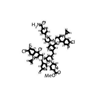 COC(=O)c1ccc(N2CC(Cc3cc(CN(Cc4cn(C5CC5)c5cc(Cl)c(F)cc5c4=O)[C@H]4CCCN(c5ccc(C(N)=O)nc5)C4)ccn3)C[C@H](N(Cc3ccnc(C)c3)Cc3cn(C4CC4)c4cc(Cl)c(F)cc4c3=O)C2)cn1